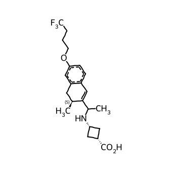 CC(N[C@H]1C[C@@H](C(=O)O)C1)C1=Cc2ccc(OCCCC(F)(F)F)cc2C[C@@H]1C